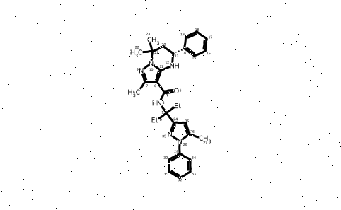 CCC(CC)(NC(=O)c1c(C)nn2c1N[C@@H](c1ccccc1)CC2(C)C)c1cc(C)n(-c2ccccc2)n1